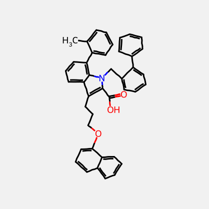 Cc1ccccc1-c1cccc2c(CCCOc3cccc4ccccc34)c(C(=O)O)n(Cc3ccccc3-c3ccccc3)c12